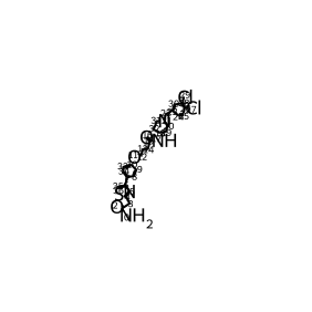 NC(=O)Cc1nc(-c2ccc(OCCCC(=O)NC3CCN(Cc4ccc(Cl)c(Cl)c4)CC3)cc2)cs1